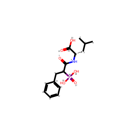 CC(C)C[C@H](NC(=O)C(Cc1ccccc1)P(=O)(O)O)C(=O)O